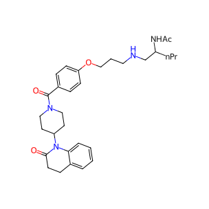 CCCC(CNCCCOc1ccc(C(=O)N2CCC(N3C(=O)CCc4ccccc43)CC2)cc1)NC(C)=O